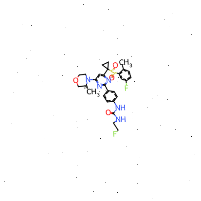 Cc1ccc(F)cc1S(=O)(=O)C1(c2cc(N3CCOC[C@@H]3C)nc(-c3ccc(NC(=O)NCCF)cc3)n2)CC1